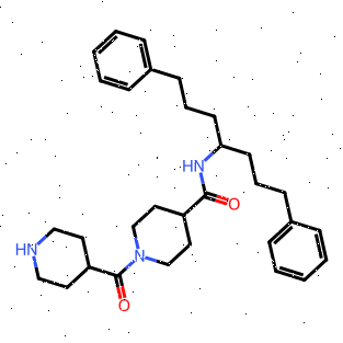 O=C(NC(CCCc1ccccc1)CCCc1ccccc1)C1CCN(C(=O)C2CCNCC2)CC1